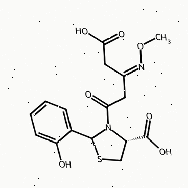 CO/N=C(\CC(=O)O)CC(=O)N1C(c2ccccc2O)SC[C@H]1C(=O)O